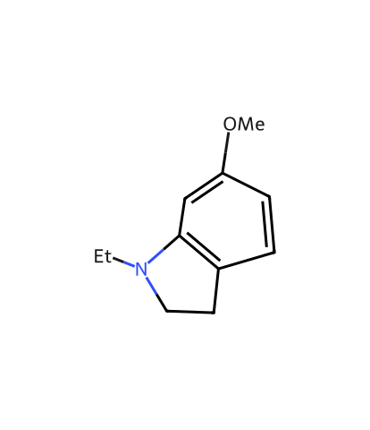 CCN1CCc2ccc(OC)cc21